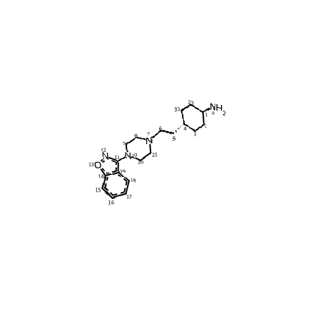 N[C@H]1CC[C@H](CCN2CCN(c3noc4ccccc34)CC2)CC1